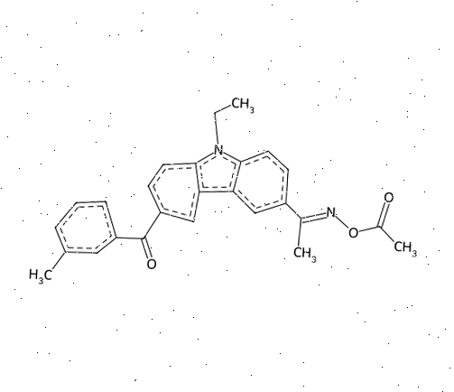 CCn1c2ccc(C(=O)c3cccc(C)c3)cc2c2cc(C(C)=NOC(C)=O)ccc21